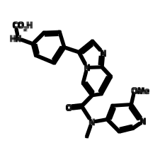 COc1cc(N(C)C(=O)c2ccc3ncc(-c4ccc(NC(=O)O)cc4)n3c2)ccn1